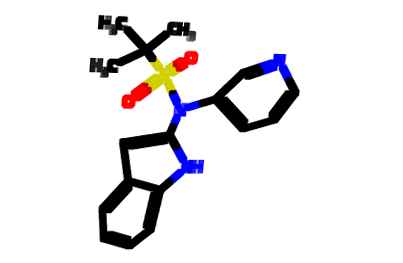 CC(C)(C)S(=O)(=O)N(c1cccnc1)c1cc2ccccc2[nH]1